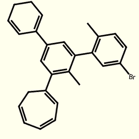 Cc1ccc(Br)cc1-c1cc(C2=CCCC=C2)cc(C2=CC=CC=CC2)c1C